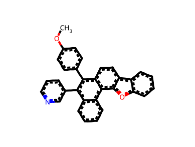 COc1ccc(-c2c(-c3cccnc3)c3ccccc3c3c2ccc2c4ccccc4oc23)cc1